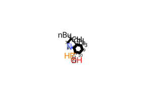 CCCCC(C)/C=N\c1c(C)cccc1PO